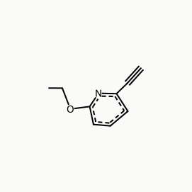 C#Cc1cccc(OCC)n1